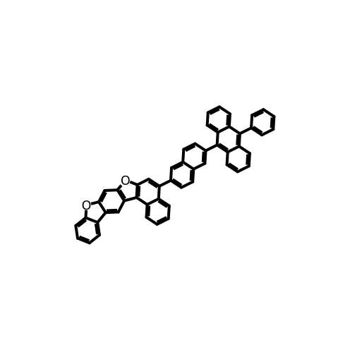 c1ccc(-c2c3ccccc3c(-c3ccc4cc(-c5cc6oc7cc8oc9ccccc9c8cc7c6c6ccccc56)ccc4c3)c3ccccc23)cc1